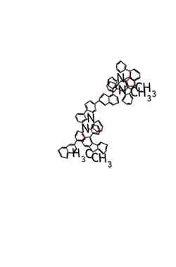 CC1(C)C2=C(CCC=C2)c2c(-c3ccccc3N(c3cccc(-c4cccc5cc(-c6ccc7c8cccc(N(c9ccc(-c%10ccc%11ccccc%11c%10)cc9)c9ccccc9-c9cccc%10c9-c9ccccc9C%10(C)C)c8n(-c8ccccc8)c7c6)ccc45)c3)c3cccc4c5ccccc5n(-c5ccccc5)c34)cccc21